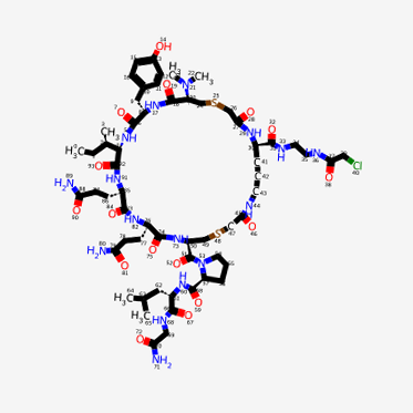 CC[C@H](C)[C@@H]1NC(=O)[C@H](Cc2ccc(O)cc2)NC(=O)[C@@H](N(C)C)CSCC(=O)N[C@@H](C(=O)NCCNC(=O)CCl)CCCNC(=O)CSC[C@@H](C(=O)N2CCC[C@H]2C(=O)N[C@@H](CC(C)C)C(=O)NCC(N)=O)NC(=O)[C@H](CCC(N)=O)NC(=O)[C@H](CCC(N)=O)NC1=O